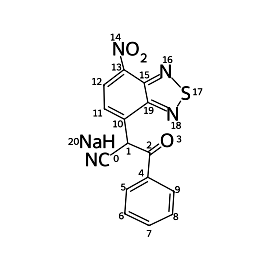 N#CC(C(=O)c1ccccc1)c1ccc([N+](=O)[O-])c2nsnc12.[NaH]